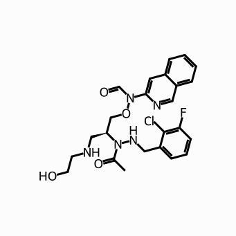 CC(=O)N(NCc1cccc(F)c1Cl)[C@@H](CNCCO)CON(C=O)c1cc2ccccc2cn1